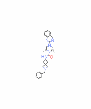 C[C@@H]1CN(c2ncc3ccccc3n2)C[C@H](C)N1C(=O)NC1CC2(C1)CN(Cc1ccccc1)C2